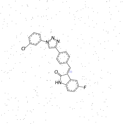 O=C1Nc2ccc(F)cc2/C1=C/c1ccc(-c2cn(-c3cccc(Cl)c3)nn2)cc1